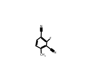 Cc1ccc(C#N)c(F)c1C#N